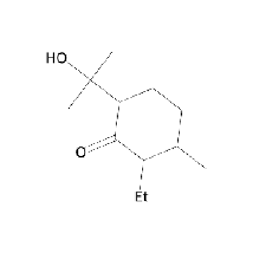 CCC1C(=O)C(C(C)(C)O)CCC1C